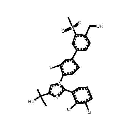 CC(C)(O)c1cn(-c2ccc(-c3ccc(CO)c(S(C)(=O)=O)c3)cc2F)c(-c2cccc(Cl)c2Cl)n1